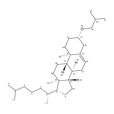 CC(C)CCC[C@@H](C)[C@H]1CC[C@H]2[C@@H]3CC=C4C[C@@H](OCC(C)C)CC[C@]4(C)[C@H]3CC[C@]12C